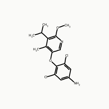 COc1ncc(Oc2c(Cl)cc(N)cc2Cl)c(C)c1C(C)C